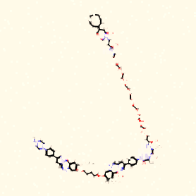 COc1cc2c(cc1OCCCCCOc1cc3c(cc1OC)C(=O)N1C=C(c4ccc(N5CCN(C)CC5)cc4)C[C@H]1C=N3)N=C[C@@H]1CC(c3ccc(NC(=O)[C@H](C)NC(=O)[C@@H](NC(=O)CCOCCOCCOCCOCCOCCOCCOCCOCCNC(=O)CCN4COCC(C5CCCCCCCC5)CC4=O)C(C)C)cc3)=CN1C2=O